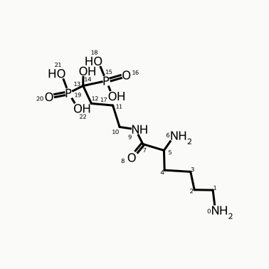 NCCCCC(N)C(=O)NCCCC(O)(P(=O)(O)O)P(=O)(O)O